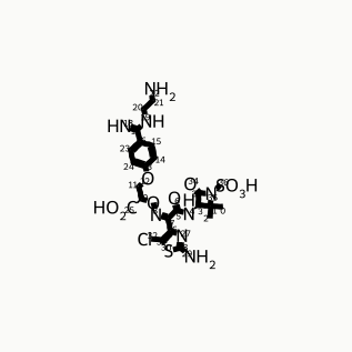 CC1(C)[C@H](NC(=O)/C(=N\O[C@@H](COc2ccc(C(=N)NCCN)cc2)C(=O)O)c2nc(N)sc2Cl)C(=O)N1S(=O)(=O)O